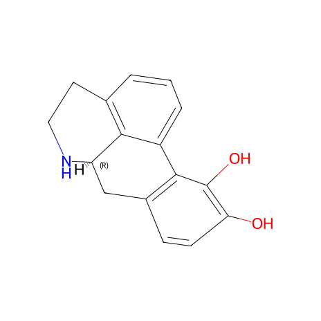 Oc1ccc2c(c1O)-c1cccc3c1[C@@H](C2)NCC3